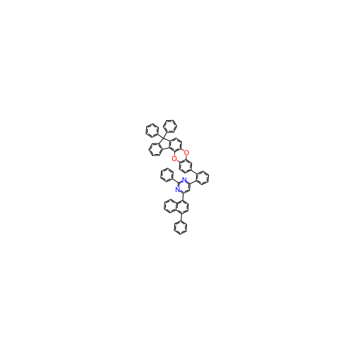 c1ccc(-c2nc(-c3ccccc3-c3ccc4c(c3)Oc3ccc5c(c3O4)-c3ccccc3C5(c3ccccc3)c3ccccc3)cc(-c3ccc(-c4ccccc4)c4ccccc34)n2)cc1